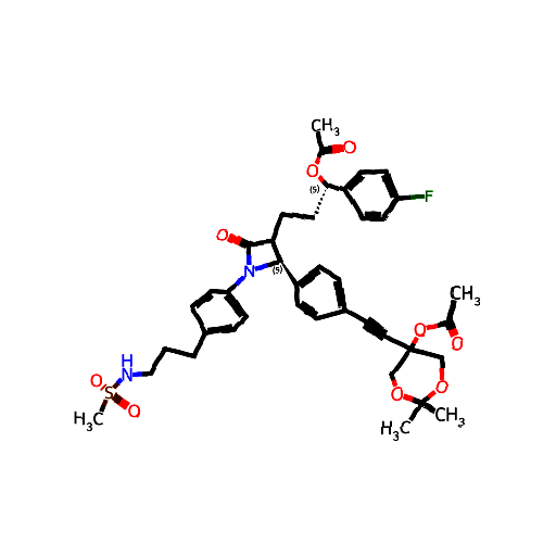 CC(=O)O[C@@H](CCC1C(=O)N(c2ccc(CCCNS(C)(=O)=O)cc2)[C@@H]1c1ccc(C#CC2(OC(C)=O)COC(C)(C)OC2)cc1)c1ccc(F)cc1